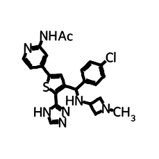 CC(=O)Nc1cc(-c2cc(C(NC3CN(C)C3)c3ccc(Cl)cc3)c(-c3nnc[nH]3)s2)ccn1